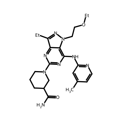 CCOCCn1nc(CC)c2nc(N3CCCC(C(N)=O)C3)nc(Nc3cc(C)ccn3)c21